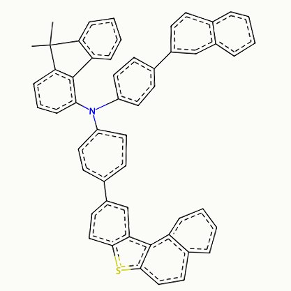 CC1(C)c2ccccc2-c2c(N(c3ccc(-c4ccc5ccccc5c4)cc3)c3ccc(-c4ccc5sc6ccc7ccccc7c6c5c4)cc3)cccc21